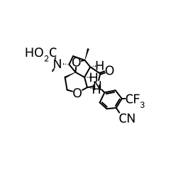 CN(C(=O)O)[C@@H]1C[C@@]2(C)O[C@@]13CCO[C@H]1[C@@H]3[C@@H]2C(=O)N1c1ccc(C#N)c(C(F)(F)F)c1